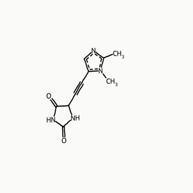 Cc1ncc(C#CC2NC(=O)NC2=O)n1C